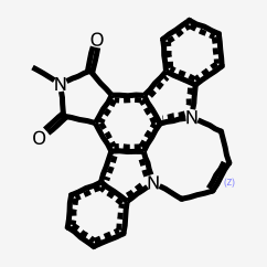 CN1C(=O)c2c(c3c4ccccc4n4c3c3c2c2ccccc2n3C/C=C\C4)C1=O